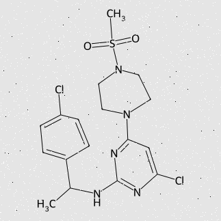 CC(Nc1nc(Cl)cc(N2CCN(S(C)(=O)=O)CC2)n1)c1ccc(Cl)cc1